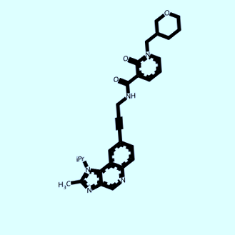 Cc1nc2cnc3ccc(C#CCNC(=O)c4cccn(CC5CCCOC5)c4=O)cc3c2n1C(C)C